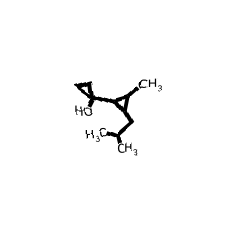 CC(C)CC1C(C)C1C1(O)CC1